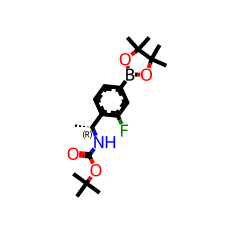 C[C@@H](NC(=O)OC(C)(C)C)c1ccc(B2OC(C)(C)C(C)(C)O2)cc1F